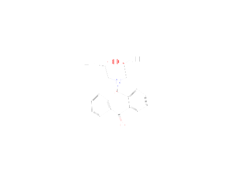 CC(O)CN(CC(C)O)C(=O)c1ccccc1C(=O)c1ccccc1